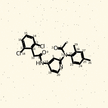 CC(=O)N(c1cc(NC(=O)Cc2c(Cl)cccc2Cl)ccn1)c1ccc(C)cc1C